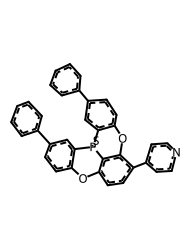 S=P12c3cc(-c4ccccc4)ccc3Oc3ccc(-c4ccncc4)c(c31)Oc1ccc(-c3ccccc3)cc12